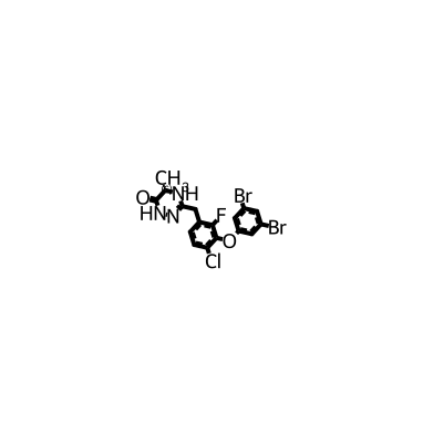 C[C@@H]1NC(Cc2ccc(Cl)c(Oc3cc(Br)cc(Br)c3)c2F)=NNC1=O